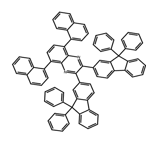 c1ccc(C2(c3ccccc3)c3ccccc3-c3ccc(-c4nc5c(-c6cccc7ccccc67)ccc(-c6cccc7ccccc67)c5nc4-c4ccc5c(c4)C(c4ccccc4)(c4ccccc4)c4ccccc4-5)cc32)cc1